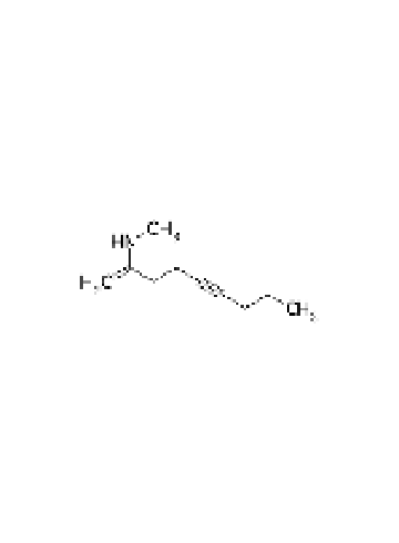 C=C(CCC#CCCC)NC